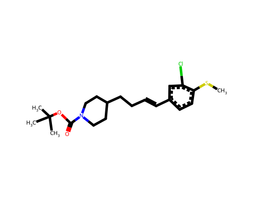 CSc1ccc(/C=C/CCC2CCN(C(=O)OC(C)(C)C)CC2)cc1Cl